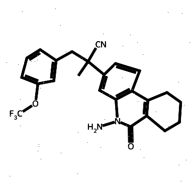 CC(C#N)(Cc1cccc(OC(F)(F)F)c1)c1ccc2c3c(c(=O)n(N)c2c1)CCCC3